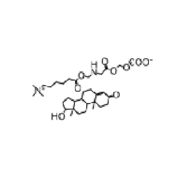 C[C@]12CCC(=O)C=C1CCC1C2CC[C@@]2(C)C1CC[C@@H]2O.C[N+](C)(C)CCCCCC(=O)OCNCC(=O)OCOC(=O)[O-]